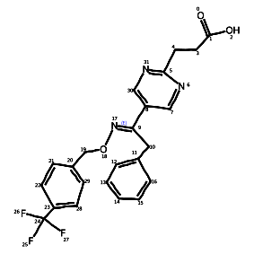 O=C(O)CCc1ncc(/C(Cc2ccccc2)=N/OCc2ccc(C(F)(F)F)cc2)cn1